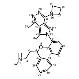 CNCCC(Oc1ccccc1-n1nc2c(N3CCC3)nnc(C)c2c1C)c1ccccc1